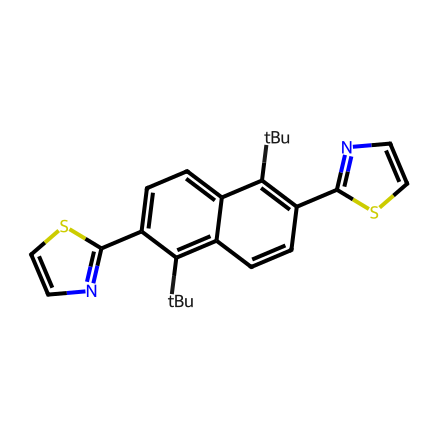 CC(C)(C)c1c(-c2nccs2)ccc2c(C(C)(C)C)c(-c3nccs3)ccc12